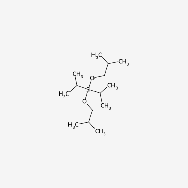 CC(C)CO[Si](OCC(C)C)(C(C)C)C(C)C